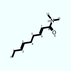 CCC=CCCC=CC(=O)N(C)C